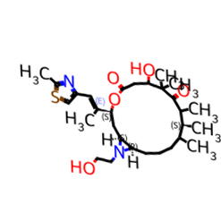 C/C(=C\c1csc(C)n1)[C@@H]1C[C@H]2[C@@H](CCCC(C)[C@H](C)C(C)C(=O)C(C)(C)C(O)CC(=O)O1)N2CCO